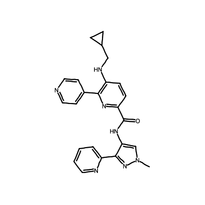 Cn1cc(NC(=O)c2ccc(NCC3CC3)c(-c3ccncc3)n2)c(-c2ccccn2)n1